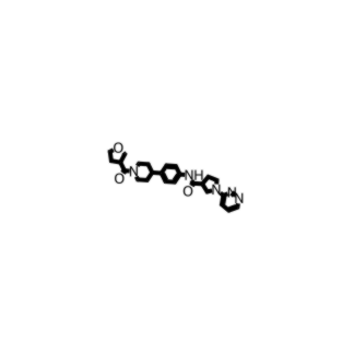 O=C(Nc1ccc(C2CCN(C(=O)C3CCOC3)CC2)cc1)C1CCN(c2cccnn2)C1